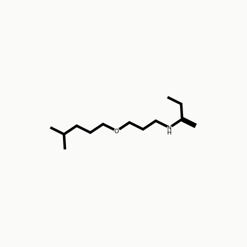 C=C(CC)NCCCOCCCC(C)C